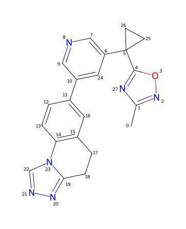 Cc1noc(C2(c3cncc(-c4ccc5c(c4)CCc4nncn4-5)c3)CC2)n1